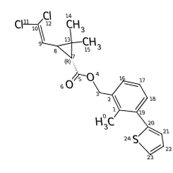 Cc1c(COC(=O)[C@@H]2C(C=C(Cl)Cl)C2(C)C)cccc1-c1cccs1